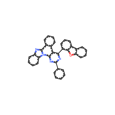 c1ccc(-c2nc(-c3cccc4c3oc3ccccc34)c3c4ccccc4c4nc5ccccc5n4c3n2)cc1